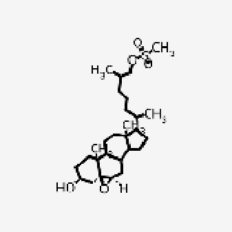 CC(CCCC(C)[C@H]1CCC2C3C[C@H]4O[C@]45C[C@@H](O)CC[C@]5(C)C3CC[C@@]21C)COS(C)(=O)=O